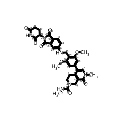 CNC(=O)N1CCc2c(-c3cc(OC)c(CNc4ccc5c(c4)C(=O)N(C4CCC(=O)NC4=O)C5=O)c(OC)c3)cn(C)c(=O)c2C1